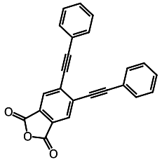 O=C1OC(=O)c2cc(C#Cc3ccccc3)c(C#Cc3ccccc3)cc21